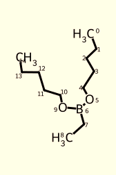 CCCCCOB(CC)OCCCCC